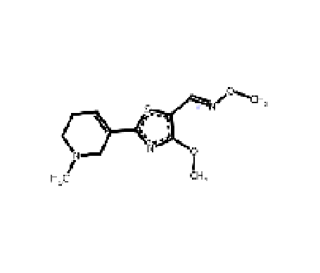 CO/N=C/c1sc(C2=CCCN(C)C2)nc1OC